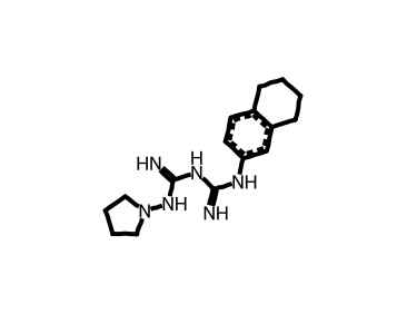 N=C(NC(=N)NN1CCCC1)Nc1ccc2c(c1)CCCC2